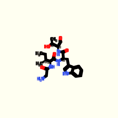 CC[C@@H](C)[C@@H](NC(=O)CN)C(=O)N[C@H](Cc1c[nH]c2ccccc12)C(=O)N[C@@H]([C]=O)[C@H](C)O